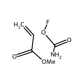 C=CC(=O)OC.NC(=O)OF